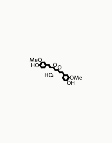 CO.COc1cc(C=CC(=O)CC(=O)C=Cc2ccc(O)c(OC)c2)ccc1O